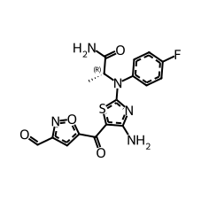 C[C@H](C(N)=O)N(c1ccc(F)cc1)c1nc(N)c(C(=O)c2cc(C=O)no2)s1